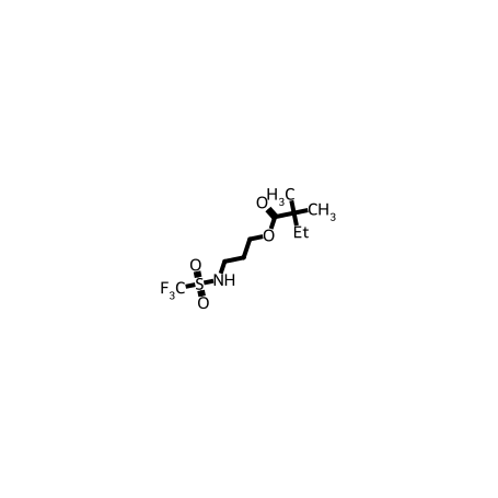 CCC(C)(C)C(=O)OCCCNS(=O)(=O)C(F)(F)F